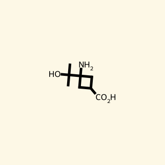 CC(C)(O)C1(N)CC(C(=O)O)C1